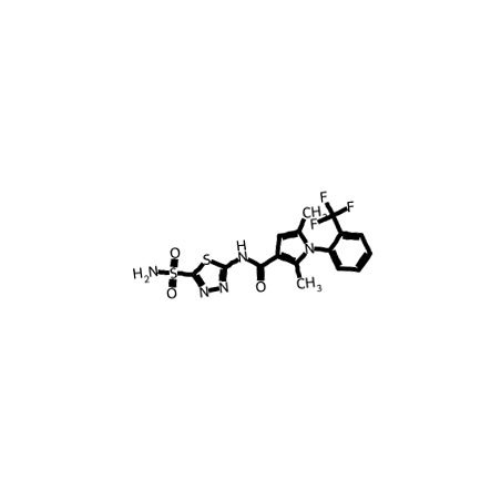 Cc1cc(C(=O)Nc2nnc(S(N)(=O)=O)s2)c(C)n1-c1ccccc1C(F)(F)F